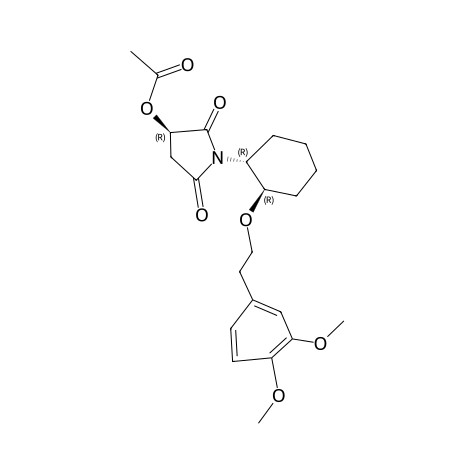 COc1ccc(CCO[C@@H]2CCCC[C@H]2N2C(=O)C[C@@H](OC(C)=O)C2=O)cc1OC